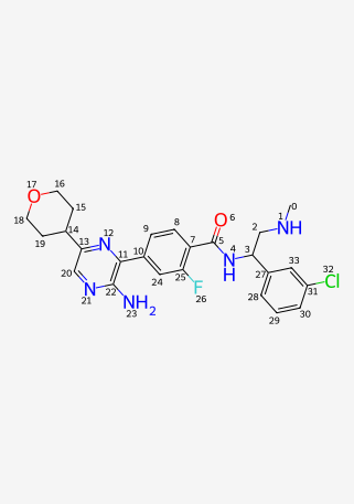 CNCC(NC(=O)c1ccc(-c2nc(C3CCOCC3)cnc2N)cc1F)c1cccc(Cl)c1